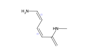 C=C(/C=C\C=C/N)NC